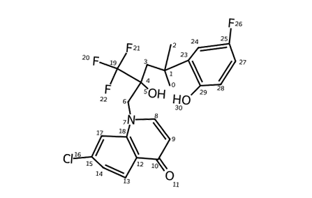 CC(C)(CC(O)(Cn1ccc(=O)c2ccc(Cl)cc21)C(F)(F)F)c1cc(F)ccc1O